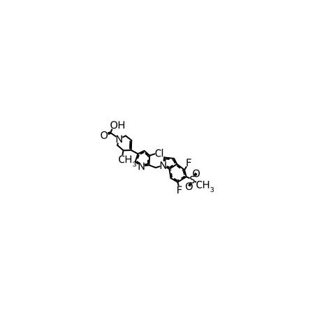 CC1CN(C(=O)O)CC=C1c1cnc(Cn2ccc3c(F)c(S(C)(=O)=O)c(F)cc32)c(Cl)c1